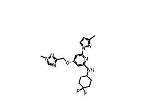 Cc1ccn(-c2cc(OCc3ncn(C)n3)cc(NC3CCC(F)(F)CC3)n2)n1